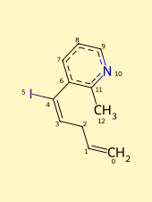 C=CC/C=C(/I)c1cccnc1C